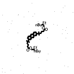 CCCCC(CC)COC(=O)CCCC(C)(C)c1ccc2cc3ccc(C(C)(C)CCCC(=O)OCC(CC)CCCC)cc3cc2c1